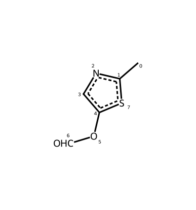 Cc1ncc(OC=O)s1